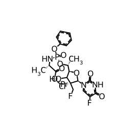 CC(C)OC(=O)[C@H](C)N[P@@](=O)(Oc1ccccc1)O[C@H](C)[C@H]1O[C@@H](n2cc(F)c(=O)[nH]c2=O)[C@@](Cl)(CF)C1O